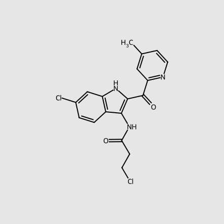 Cc1ccnc(C(=O)c2[nH]c3cc(Cl)ccc3c2NC(=O)CCCl)c1